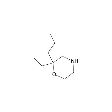 CCCC1(CC)CNCCO1